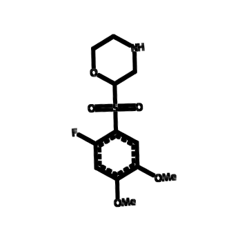 COc1cc(F)c(S(=O)(=O)C2CNCCO2)cc1OC